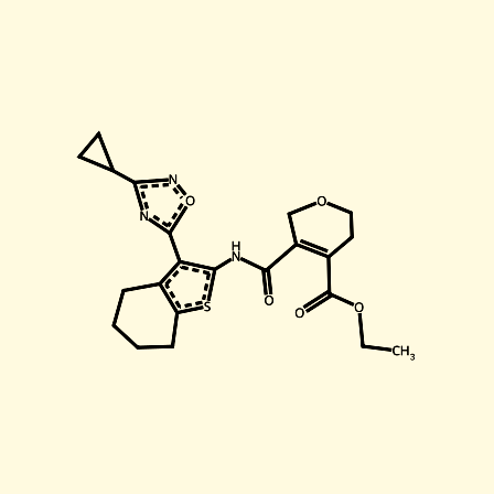 CCOC(=O)C1=C(C(=O)Nc2sc3c(c2-c2nc(C4CC4)no2)CCCC3)COCC1